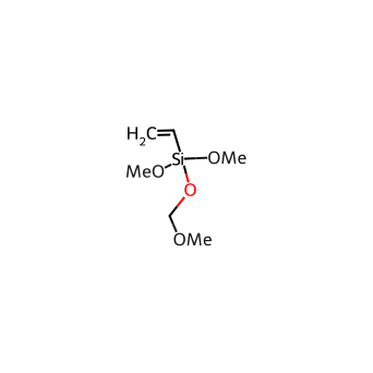 C=C[Si](OC)(OC)OCOC